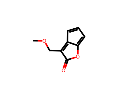 COCC1=C2C=CC=C2OC1=O